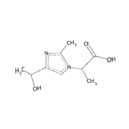 Cc1nc(C(C)O)cn1C(C)C(=O)O